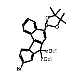 CCCCCCCCC1(CCCCCCCC)c2cc(Br)ccc2-c2c1cc(B1OC(C)(C)C(C)(C)O1)c1ccccc21